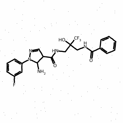 NC1C(C(=O)NCC(O)(CNC(=O)c2ccccc2)C(F)(F)F)C=NN1c1cccc(F)c1